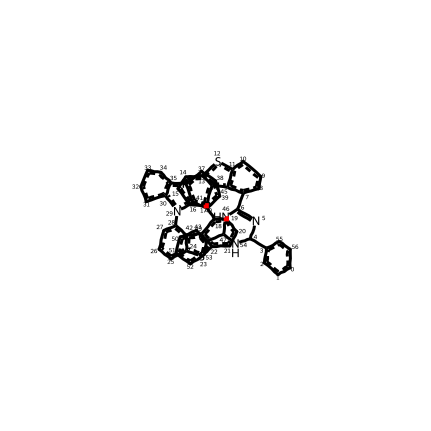 c1ccc(C2N=C(c3cccc4sc5cccc(-c6cccc7sc8cccc(-n9c%10ccccc%10c%10ccccc%109)c8c67)c5c34)NC(c3ccccc3)N2)cc1